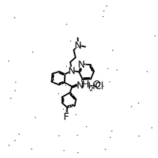 CN(C)CCCN1c2ccccc2C(c2ccc(F)cc2)=Nc2cccnc21.Cl.O